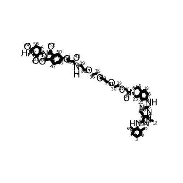 Cc1cccc(C)c1Nc1nn(C)c2nc(Nc3ccc4c(c3)CN(C(=O)COCCOCCOCCOCCNC(=O)COc3ccc5c(c3)C(=O)N(C3CCC(=O)NC3=O)C5=O)CC4)ncc12